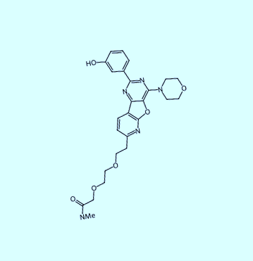 CNC(=O)COCCOCCc1ccc2c(n1)oc1c(N3CCOCC3)nc(-c3cccc(O)c3)nc12